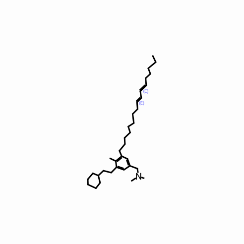 CCCCC/C=C/C=C/CCCCCCCCc1cc(CN(C)C)cc(CCC2CCCCC2)c1C